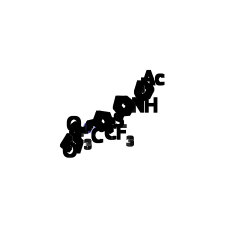 CC(=O)N1CCC(Nc2cccc(Sc3ccc(/C=C/C(=O)N4CCOCC4)c(C(F)(F)F)c3C(F)(F)F)c2)CC1